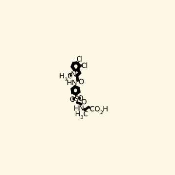 CC(CC(=O)O)NC(=O)CS(=O)(=O)c1ccc(NC(=O)c2cc3c(Cl)c(Cl)ccc3n2C)cc1